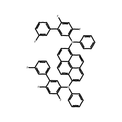 Fc1cccc(-c2cc(N(c3ccccc3)c3ccc4ccc5c(N(c6ccccc6)c6cc(-c7cccc(F)c7)c(F)cc6F)ccc6ccc3c4c65)c(F)cc2F)c1